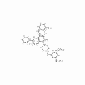 COc1cc(CN2CCN(c3c(C)n(Cc4c(F)cccc4F)c(=O)n(C[C@@H](N)c4ccccc4)c3=O)CC2)cc(OC)c1